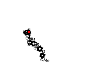 COc1ccc(Oc2ccc(S(=O)(=O)N3CCc4c(ncnc4NC(=O)CC45CC6CC(CC(C6)C4)C5)C3)cc2)cc1